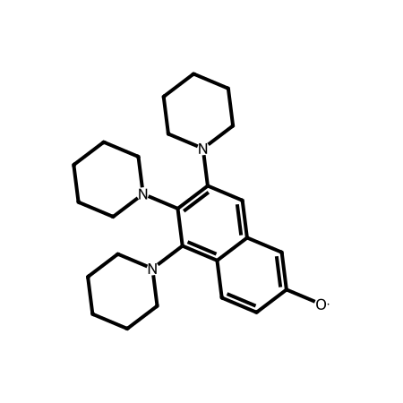 [O]c1ccc2c(N3CCCCC3)c(N3CCCCC3)c(N3CCCCC3)cc2c1